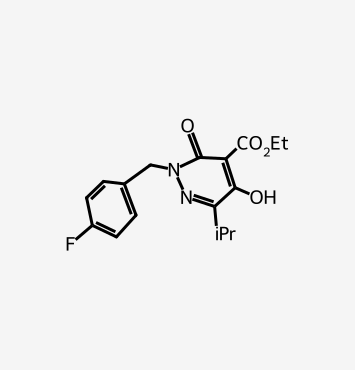 CCOC(=O)c1c(O)c(C(C)C)nn(Cc2ccc(F)cc2)c1=O